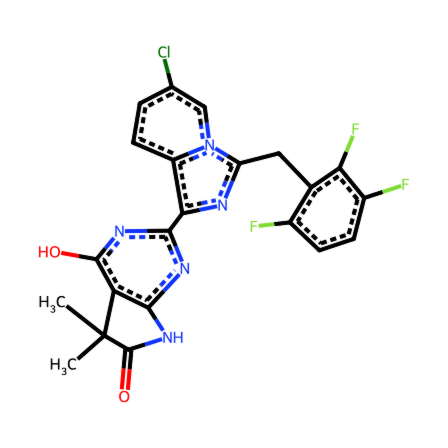 CC1(C)C(=O)Nc2nc(-c3nc(Cc4c(F)ccc(F)c4F)n4cc(Cl)ccc34)nc(O)c21